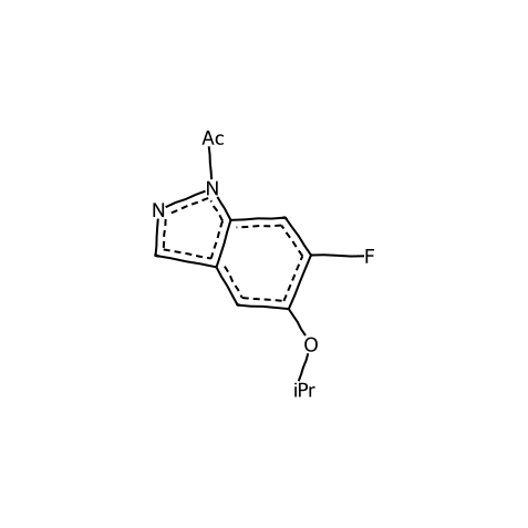 CC(=O)n1ncc2cc(OC(C)C)c(F)cc21